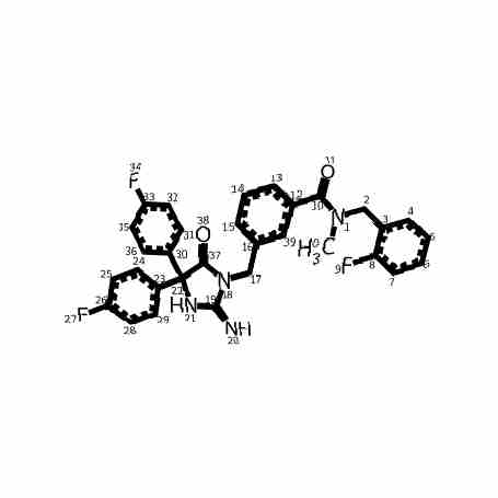 CN(Cc1ccccc1F)C(=O)c1cccc(CN2C(=N)NC(c3ccc(F)cc3)(c3ccc(F)cc3)C2=O)c1